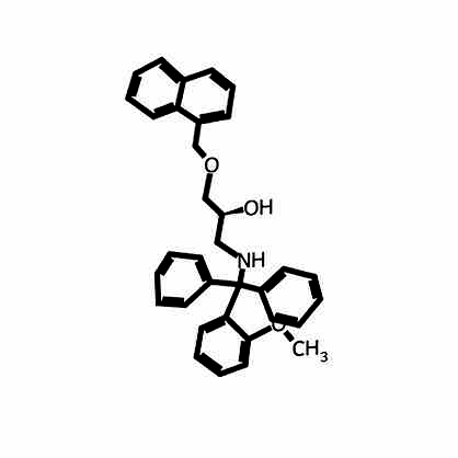 COc1ccccc1C(NC[C@H](O)COCc1cccc2ccccc12)(c1ccccc1)c1ccccc1